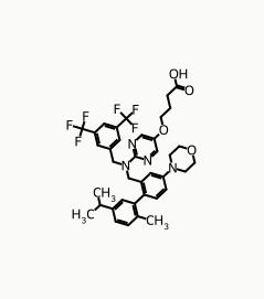 Cc1ccc(C(C)C)cc1-c1ccc(N2CCOCC2)cc1CN(Cc1cc(C(F)(F)F)cc(C(F)(F)F)c1)c1ncc(OCCCC(=O)O)cn1